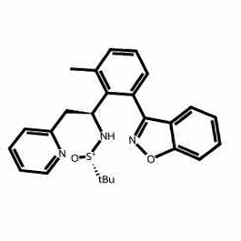 Cc1cccc(-c2noc3ccccc23)c1[C@H](Cc1ccccn1)N[S@@+]([O-])C(C)(C)C